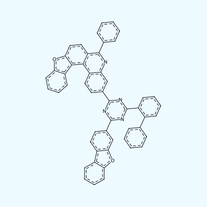 c1ccc(-c2ccccc2-c2nc(-c3ccc4c(c3)nc(-c3ccccc3)c3ccc5oc6ccccc6c5c34)nc(-c3ccc4c(c3)oc3ccccc34)n2)cc1